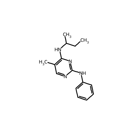 CCC(C)Nc1nc(Nc2ccccc2)ncc1C